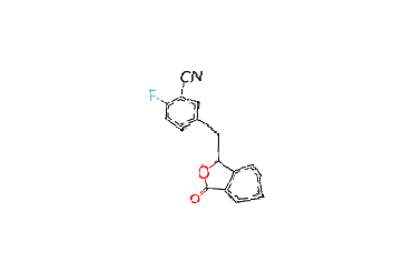 N#Cc1cc(CC2OC(=O)c3ccccc32)ccc1F